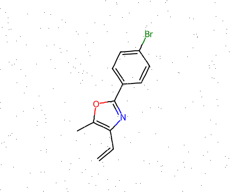 C=Cc1nc(-c2ccc(Br)cc2)oc1C